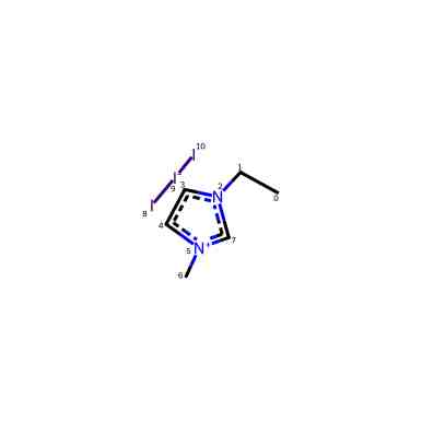 CCn1cc[n+](C)c1.I[I-]I